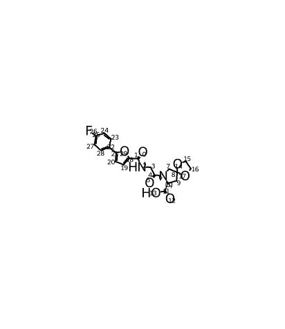 O=C(NCC(=O)N1CC2(C[C@H]1C(=O)O)OCCO2)c1ccc(-c2ccc(F)cc2)o1